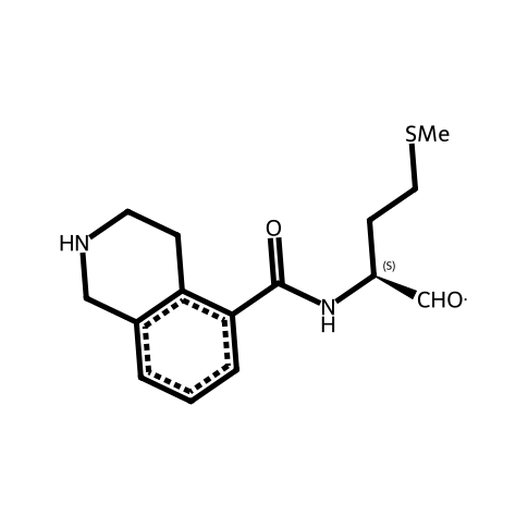 CSCC[C@@H]([C]=O)NC(=O)c1cccc2c1CCNC2